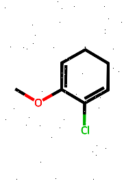 COC1=C[CH]CC=C1Cl